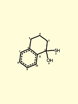 OC1(S)CCCc2ccccc21